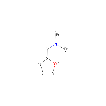 CC(C)N(CC1CCCO1)C(C)C